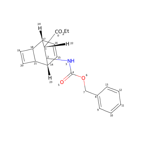 CCOC(=O)[C@@H]1C(NC(=O)OCc2ccccc2)[C@@H]2C=C[C@H]1C1C=CC12